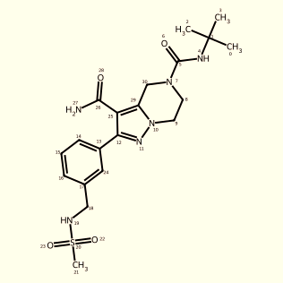 CC(C)(C)NC(=O)N1CCn2nc(-c3cccc(CNS(C)(=O)=O)c3)c(C(N)=O)c2C1